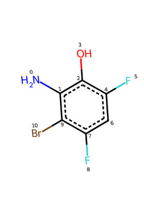 Nc1c(O)c(F)cc(F)c1Br